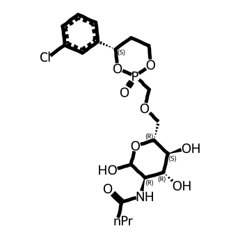 CCCC(=O)N[C@H]1C(O)O[C@H](COCP2(=O)OCC[C@@H](c3cccc(Cl)c3)O2)[C@@H](O)[C@@H]1O